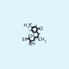 C=C(CCC(CCC)C(=C)CC)Cc1ccc(C)cc1Cl